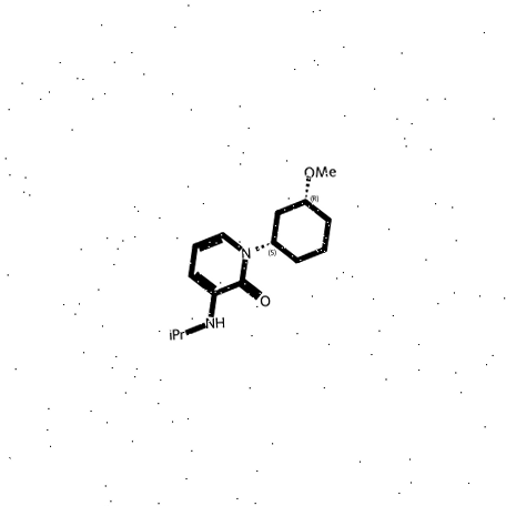 CO[C@@H]1CCC[C@H](n2cccc(NC(C)C)c2=O)C1